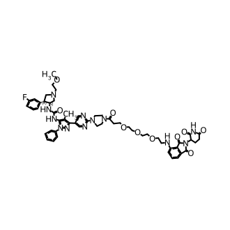 COCCN1C[C@@H](NC(=O)Nc2c(C)c(-c3cnc(N4CCN(C(=O)CCOCCOCCOCCNc5cccc6c5C(=O)N(C5CCC(=O)NC5=O)C6=O)CC4)nc3)nn2-c2ccccc2)[C@H](c2cccc(F)c2)C1